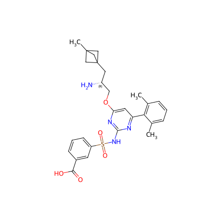 Cc1cccc(C)c1-c1cc(OC[C@H](N)CC23CC(C)(C2)C3)nc(NS(=O)(=O)c2cccc(C(=O)O)c2)n1